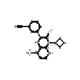 N#Cc1cccc(-c2nc3c(N)ccnc3n(C3CCC3)c2=O)c1